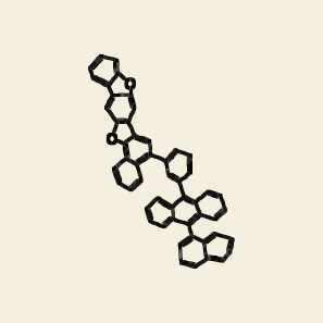 c1cc(-c2c3ccccc3c(-c3cccc4ccccc34)c3ccccc23)cc(-c2cc3c4cc5oc6ccccc6c5cc4oc3c3ccccc23)c1